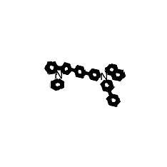 c1ccc(-c2ccc(N(c3ccc(-c4ccc(-c5ccc6c7ccccc7n(-c7ccccc7)c6c5)cc4)cc3)c3cccc4ccccc34)cc2)cc1